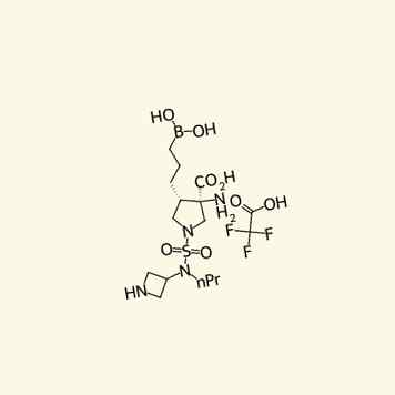 CCCN(C1CNC1)S(=O)(=O)N1C[C@H](CCCB(O)O)[C@](N)(C(=O)O)C1.O=C(O)C(F)(F)F